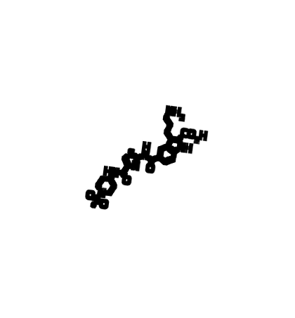 CS(=O)(=O)N1CCC(NC(=O)c2csc(NC(=O)c3ccc4[nH]c(C(=O)O)c(CCCN)c4c3)n2)CC1